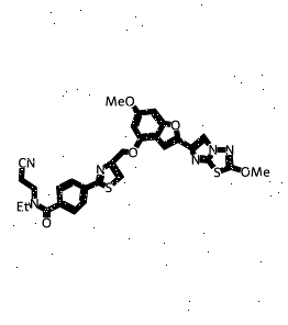 CCN(CCC#N)C(=O)c1ccc(-c2nc(COc3cc(OC)cc4oc(-c5cn6nc(OC)sc6n5)cc34)cs2)cc1